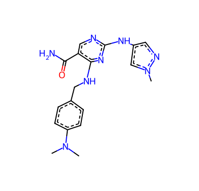 CN(C)c1ccc(CNc2nc(Nc3cnn(C)c3)ncc2C(N)=O)cc1